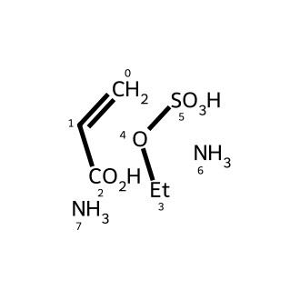 C=CC(=O)O.CCOS(=O)(=O)O.N.N